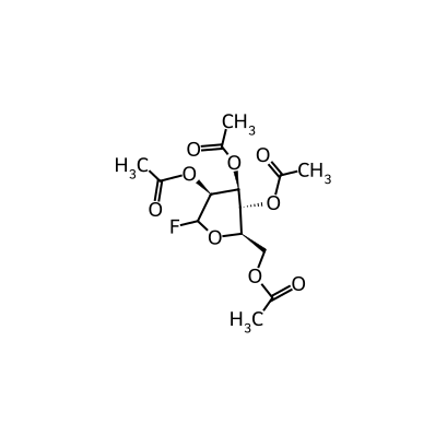 CC(=O)OC[C@H]1OC(F)[C@@H](OC(C)=O)[C@@H](OC(C)=O)[C@@H]1OC(C)=O